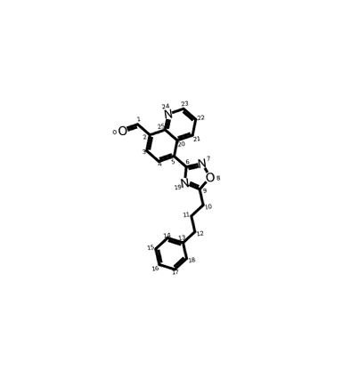 O=Cc1ccc(-c2noc(CCCc3ccccc3)n2)c2cccnc12